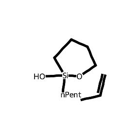 C=CC.CCCCC[Si]1(O)CCCCO1